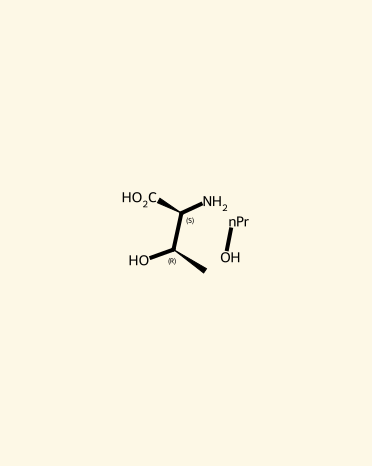 CCCO.C[C@@H](O)[C@H](N)C(=O)O